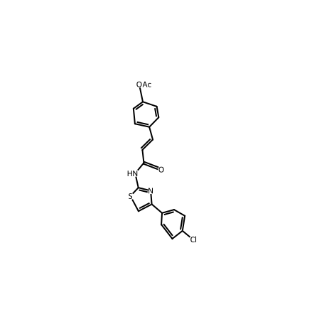 CC(=O)Oc1ccc(C=CC(=O)Nc2nc(-c3ccc(Cl)cc3)cs2)cc1